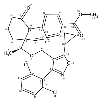 C=CC1([C@H](C)OCc2c(-c3c(Cl)cccc3Cl)noc2C2CC2)CCCC(=O)N1c1ccc(C(=O)OC)cc1